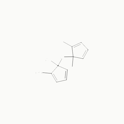 CCCCC1=CC=C[C]1(CCCC)[Zr][C]1(C)C=CC=C1C